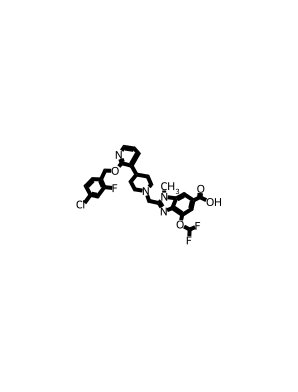 Cn1c(CN2CCC(c3cccnc3OCc3ccc(Cl)cc3F)CC2)nc2c(OC(F)F)cc(C(=O)O)cc21